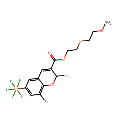 CCc1cc(S(F)(F)(F)(F)F)cc2c1OC(C(F)(F)F)C(C(=O)OCCSCCO[N+](=O)[O-])=C2